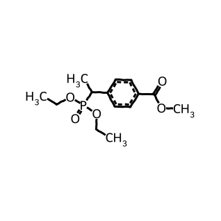 CCOP(=O)(OCC)C(C)c1ccc(C(=O)OC)cc1